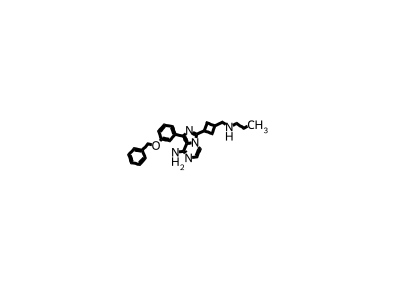 CCCNCC1CC(c2nc(-c3cccc(OCc4ccccc4)c3)c3c(N)nccn23)C1